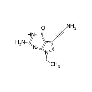 CCn1cc(C#CN)c2c(=O)[nH]c(N)nc21